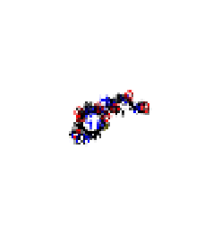 CCn1c(-c2cccnc2)c2c3cc(ccc31)-c1csc(n1)C[C@H](NC(=O)C(CN(C)C(=O)[C@H]1CCN(C(=O)C#CCN3CCOCC3)C1)C(C)C)C(=O)N1CCC[C@H](N1)C(=O)OCC(C)(C)C2